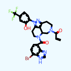 C=CC(=O)N1CCc2nn(-c3ccc(C(F)(F)F)cc3O)c3c2C(C1)N(C(=O)c1ccc(Br)c2[nH]cnc12)CC3